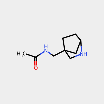 CC(=O)NCC12CCC(C1)NC2